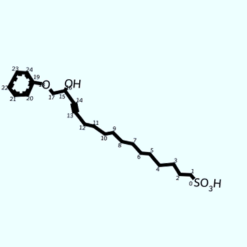 O=S(=O)(O)CCCCCCCCCCCCC#CC(O)COc1ccccc1